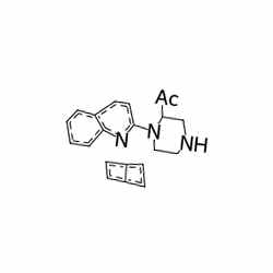 CC(=O)C1CNCCN1c1ccc2ccccc2n1.c1cc2ccc1-2